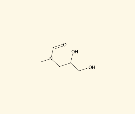 CN([C]=O)CC(O)CO